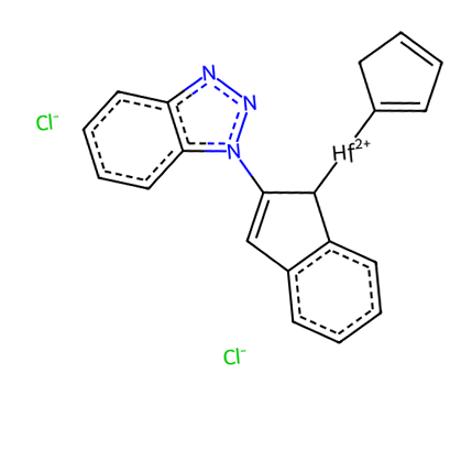 C1=CC[C]([Hf+2][CH]2C(n3nnc4ccccc43)=Cc3ccccc32)=C1.[Cl-].[Cl-]